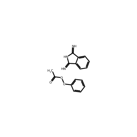 CC(=O)OOc1ccccc1.N=C1NC(=N)c2ccccc21